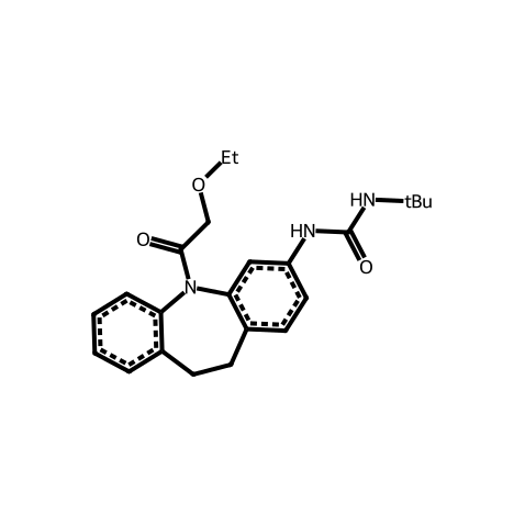 CCOCC(=O)N1c2ccccc2CCc2ccc(NC(=O)NC(C)(C)C)cc21